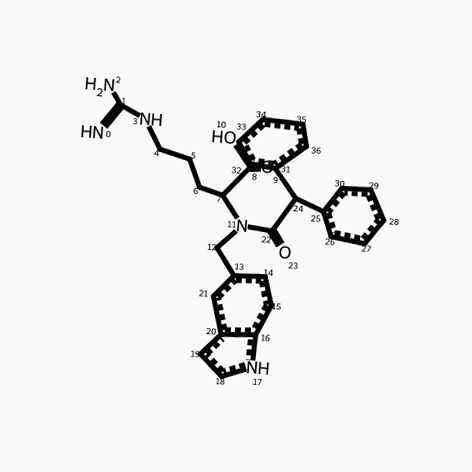 N=C(N)NCCCC(C(=O)O)N(Cc1ccc2[nH]ccc2c1)C(=O)C(c1ccccc1)c1ccccc1